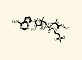 CC(C)OC(=O)[C@H](C)NP(=O)(OCCS(C)(=O)=O)OC[C@@]1(C)O[C@@H](c2ccc3c(N)ncnn23)[C@H](O)[C@@H]1O